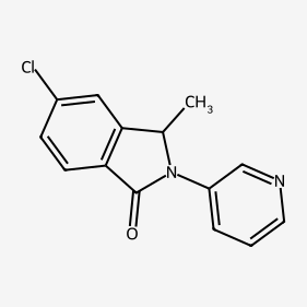 CC1c2cc(Cl)ccc2C(=O)N1c1cccnc1